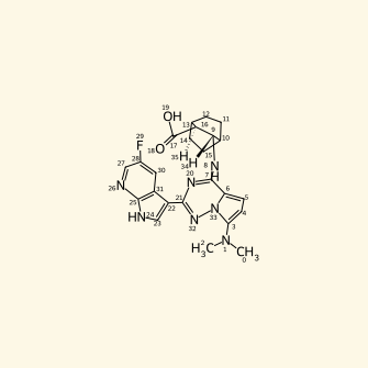 CN(C)c1ccc2c(N[C@H]3C4CCC(CC4)[C@@H]3C(=O)O)nc(-c3c[nH]c4ncc(F)cc34)nn12